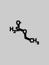 CCO[SiH2][O]